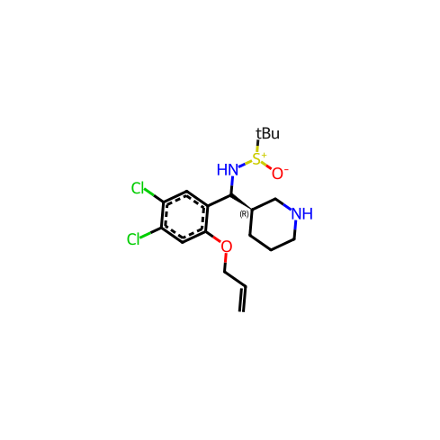 C=CCOc1cc(Cl)c(Cl)cc1C(N[S+]([O-])C(C)(C)C)[C@@H]1CCCNC1